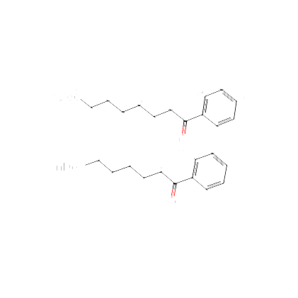 CCCCCCCCCCCCCCCC(=O)c1ccccc1.CCCCCCCCCCCCCCCCC(=O)c1ccccc1